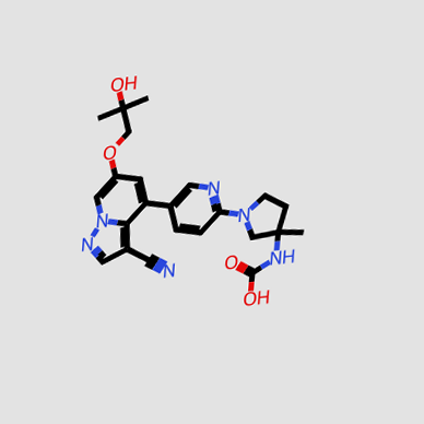 CC(C)(O)COc1cc(-c2ccc(N3CCC(C)(NC(=O)O)C3)nc2)c2c(C#N)cnn2c1